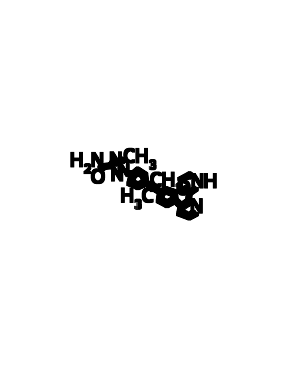 Cc1nc(C(N)=O)nn1-c1ccc(C(C)(C)c2ccc(-c3cccnc3C3CNCCO3)cc2)cc1